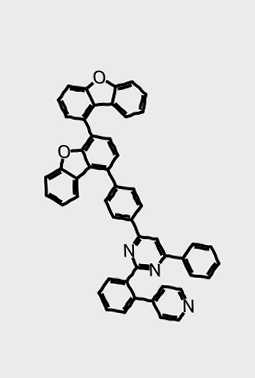 c1ccc(-c2cc(-c3ccc(-c4ccc(-c5cccc6oc7ccccc7c56)c5oc6ccccc6c45)cc3)nc(-c3ccccc3-c3ccncc3)n2)cc1